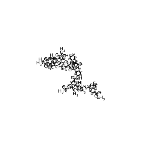 CC[C@H](C)[C@@H]([C@@H](CC(=O)N1CCC[C@H]1[C@H](OC)[C@@H](C)C(=O)N[C@@H](Cc1ccccc1)C(=O)NCc1ccc(NC(=O)[C@H](CCCNC(N)=O)NC(=O)[C@@H](NC(=O)CCCN2CC[C@@H](C(=O)OC)C[C@H]2C(F)(F)F)C(C)C)cc1)OC)N(C)C(=O)[C@@H](NC(=O)[C@H](C(C)C)N(C)C)C(C)C